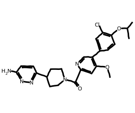 COc1cc(C(=O)N2CCC(c3ccc(N)nn3)CC2)ncc1-c1ccc(OC(C)C)c(Cl)c1